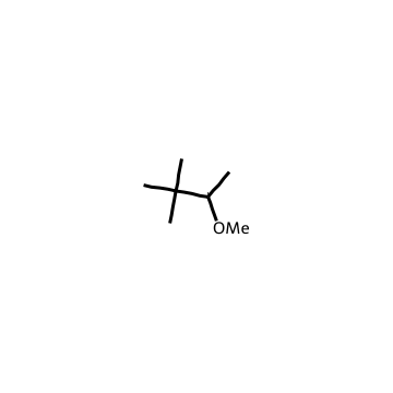 CO[C](C)C(C)(C)C